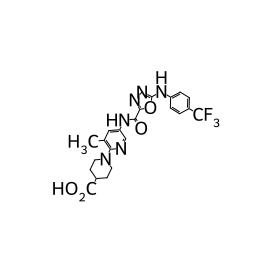 Cc1cc(NC(=O)c2nnc(Nc3ccc(C(F)(F)F)cc3)o2)cnc1N1CCC(C(=O)O)CC1